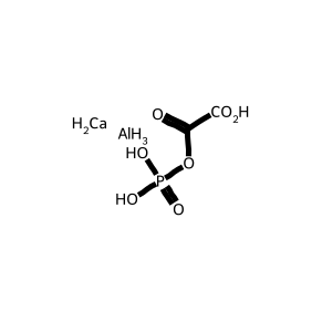 O=C(O)C(=O)OP(=O)(O)O.[AlH3].[CaH2]